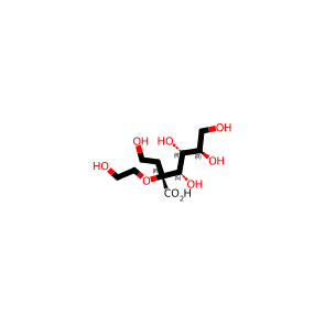 O=C(O)[C@](CCO)(OCCO)[C@@H](O)[C@H](O)[C@H](O)CO